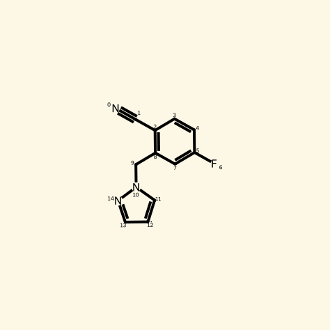 N#Cc1ccc(F)cc1Cn1c[c]cn1